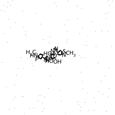 CCNc1ccc(-c2cn([C@H]3[C@@H](O)[C@@H](CO)O[C@@H](c4ncnn4-c4ccc5nc(C)sc5c4)[C@@H]3O)nn2)cc1F